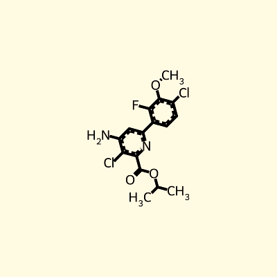 COc1c(Cl)ccc(-c2cc(N)c(Cl)c(C(=O)OC(C)C)n2)c1F